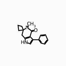 CN1C(=O)c2c(-c3ccccc3)c[nH]c2CC12CCC2